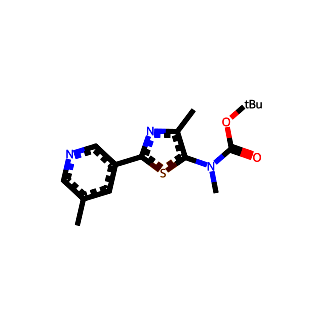 Cc1cncc(-c2nc(C)c(N(C)C(=O)OC(C)(C)C)s2)c1